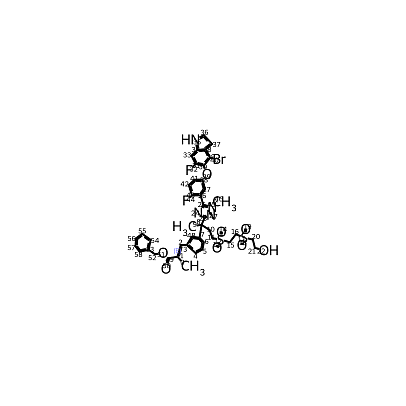 C/C(=C\c1cccc(C(C)(CCS(=O)(=O)CCS(=O)(=O)CCO)c2nc(-c3cc(Oc4c(F)cc5[nH]ccc5c4Br)ccc3F)n(C)n2)c1)C(=O)OCc1ccccc1